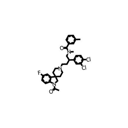 CC(=O)N1CC2(CCN(CCC(CN(C)C(=O)c3cccc(C)c3)c3ccc(Cl)c(Cl)c3)CC2)c2cc(F)ccc21